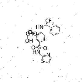 O=CO.O=S(=O)(Nc1nccs1)c1ccc(N[C@H](c2ccccc2)C(F)(F)F)c(Cl)c1